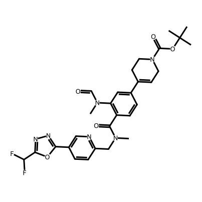 CN(Cc1ccc(-c2nnc(C(F)F)o2)cn1)C(=O)c1ccc(C2=CCN(C(=O)OC(C)(C)C)CC2)cc1N(C)C=O